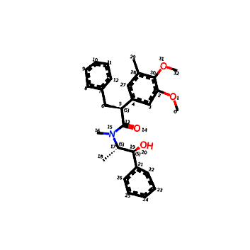 COc1cc([C@H](Cc2ccccc2)C(=O)N(C)[C@@H](C)[C@@H](O)c2ccccc2)cc(C)c1OC